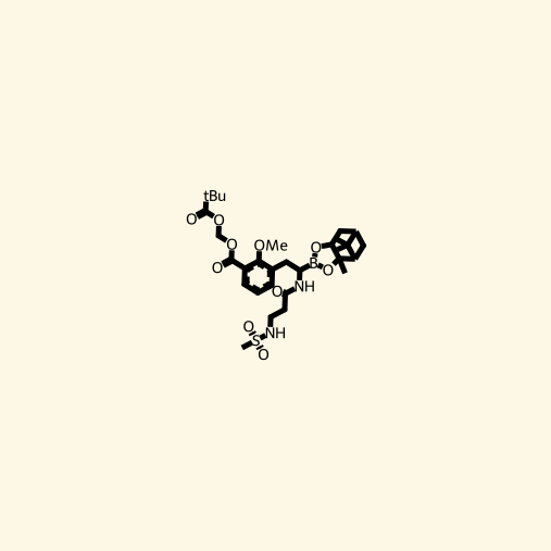 COc1c(CC(NC(=O)CCNS(C)(=O)=O)B2OC3CC4CC(C4(C)C)C3(C)O2)cccc1C(=O)OCOC(=O)C(C)(C)C